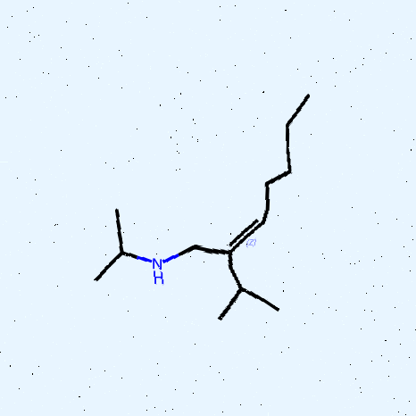 CCCC/C=C(\CNC(C)C)C(C)C